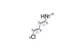 CN/C=C/C=C/Cl